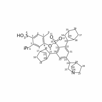 Cc1cc(S(=O)(=O)O)c(C(C)C)cc1OS(=O)(=O)c1c(C2CC3CCC2C3)cc(C2CN3CCC2C3)cc1C1CC2CCC1C2